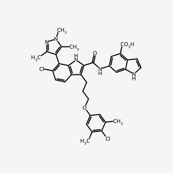 Cc1cc(OCCCc2c(C(=O)Nc3cc(C(=O)O)c4cc[nH]c4c3)[nH]c3c(-c4c(C)nn(C)c4C)c(Cl)ccc23)cc(C)c1Cl